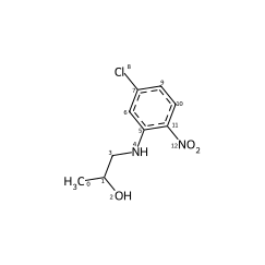 CC(O)CNc1cc(Cl)ccc1[N+](=O)[O-]